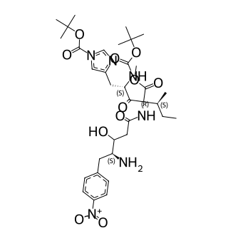 CC[C@H](C)[C@](NC(=O)CC(O)[C@@H](N)Cc1ccc([N+](=O)[O-])cc1)(C(=O)OC)C(=O)[C@H](Cc1cn(C(=O)OC(C)(C)C)cn1)NC(=O)OC(C)(C)C